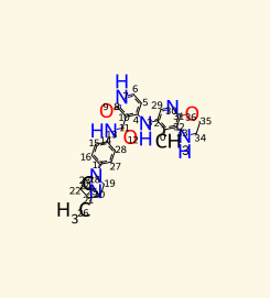 Cc1c(Nc2cc[nH]c(=O)c2C(=O)Nc2ccc(N3CC4CCC3CN4C)cc2)cnc2c1NCCO2